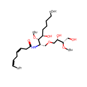 CCC/C=C\C/C=C\CC(=O)N[C@@H](COC[C@H](O)[C@H](CO)OC(C)(C)C)[C@H](OC(C)(C)C)[C@H](O)CCCCCCCCCCCCCC